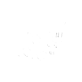 O=C(N[C@@H]1CCOC1)c1cn(Cc2ccc(Cl)cc2)c(Nc2ccc(Oc3cccc(F)n3)cc2)nc1=O